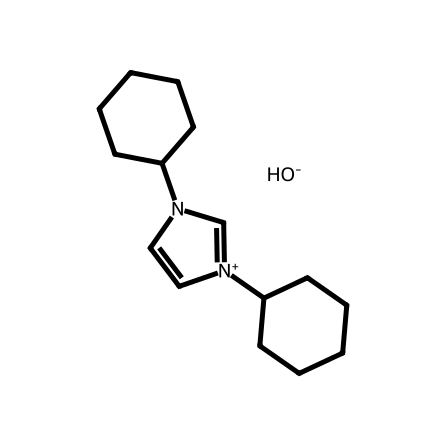 [OH-].c1c[n+](C2CCCCC2)cn1C1CCCCC1